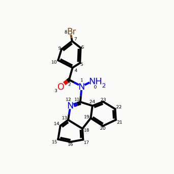 NN(C(=O)c1ccc(Br)cc1)c1nc2ccccc2c2ccccc12